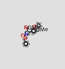 COC(=O)C1CN(C(=O)OCc2ccccc2)CC1c1ccc(OC)c(OC2CCCC2)c1